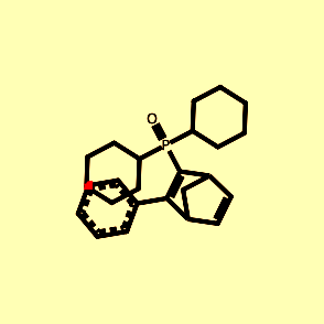 O=P(C1=C(c2ccccc2)C2C=CC1C2)(C1CCCCC1)C1CCCCC1